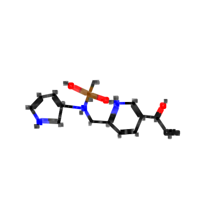 COC(=O)c1ccc(CN(c2cccnc2)S(C)(=O)=O)nc1